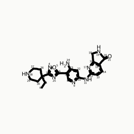 CCC1(c2noc(-c3cnc(Nc4ccc5c(n4)CNC5=O)cc3N)n2)CCNCC1